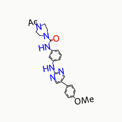 COc1ccc(-c2cnc(Nc3cccc(NC(=O)N4CCN(C(C)=O)CC4)c3)nc2)cc1